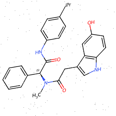 CC(C)c1ccc(NC(=O)[C@H](c2ccccc2)N(C)C(=O)Cc2c[nH]c3ccc(O)cc23)cc1